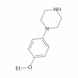 CCOc1ccc(N2CCNCC2)cc1